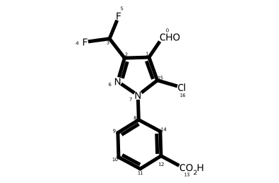 O=Cc1c(C(F)F)nn(-c2cccc(C(=O)O)c2)c1Cl